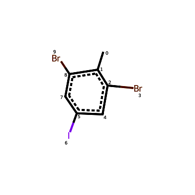 Cc1c(Br)cc(I)cc1Br